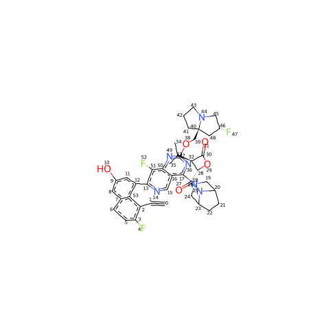 C#Cc1c(F)ccc2cc(O)cc(-c3ncc4c(N5CC6CCC(C5)N6C(=O)[C@H]5OC(=O)[C@@H]5C(C)C)nc(OC[C@@]56CCCN5C[C@H](F)C6)nc4c3F)c12